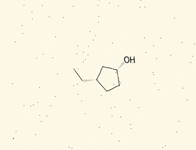 CC[C@H]1CC[C@@H](O)C1